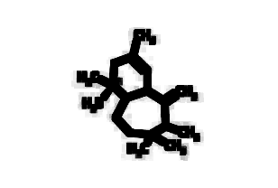 B[C@@]1(C)CC(C)=CC2C(=C)C(C)C(C)(C)CCC21